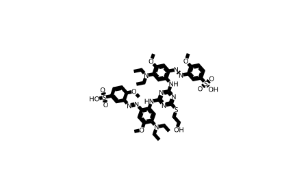 CCN(CC)c1cc(Nc2nc(Nc3cc(N(CC)CC)c(OC)cc3/N=N/C3C=C(S(=O)(=O)O)C=CC3OC)nc(SCCO)n2)c(/N=N/c2cc(S(=O)(=O)O)ccc2OC)cc1OC